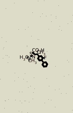 CC(c1ccc(-c2ccccc2)c(F)c1)c1nc(N(C)C)sc1C(=O)O